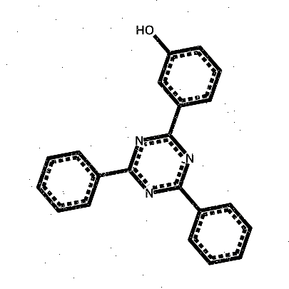 Oc1cccc(-c2nc(-c3ccccc3)nc(-c3ccccc3)n2)c1